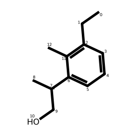 CCc1cccc([C](C)CO)c1C